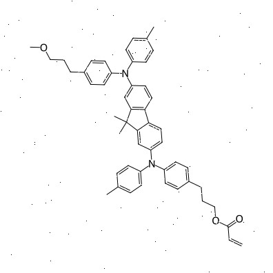 C=CC(=O)OCCCc1ccc(N(c2ccc(C)cc2)c2ccc3c(c2)C(C)(C)c2cc(N(c4ccc(C)cc4)c4ccc(CCCOC)cc4)ccc2-3)cc1